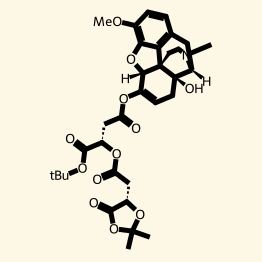 COc1ccc2c3c1O[C@H]1C(OC(=O)C[C@H](OC(=O)C[C@@H]4OC(C)(C)OC4=O)C(=O)OC(C)(C)C)=CC[C@@]4(O)[C@@H](C2)N(C)CC[C@]314